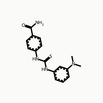 CN(C)c1cccc(NC(=S)Nc2ccc(C(N)=O)cc2)c1